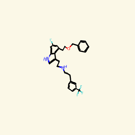 Fc1cc(CCOCc2ccccc2)c2c(CCNCCc3cccc(C(F)(F)F)c3)c[nH]c2c1